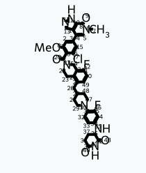 COc1cc(-c2cn(C)c(=O)c3[nH]ncc23)cc(Cl)c1C(=O)N1CCc2c(CC3CCN(c4ccc(NC5CCC(=O)NC5=O)cc4F)CC3)ccc(F)c2C1